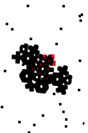 COc1c(C(C)(C)C)cc(P(c2cc(C(C)(C)C)c(C)c(C(C)(C)C)c2)c2cccc3c2Oc2c(P(c4cc(C(C)(C)C)c(OC)c(C(C)(C)C)c4)c4cc(C(C)(C)C)c(OC)c(C(C)(C)C)c4)cccc2C3(C)C)cc1C(C)(C)C